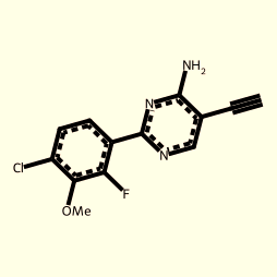 C#Cc1cnc(-c2ccc(Cl)c(OC)c2F)nc1N